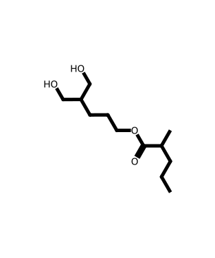 CCCC(C)C(=O)OCCCC(CO)CO